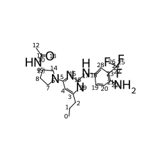 CCCc1cc(N2CC[C@H](NC(C)=O)C2)nc(Nc2ccc(N)c(C(F)(F)F)c2)n1